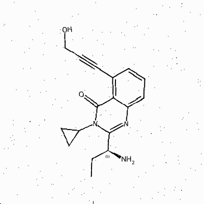 CC[C@H](N)c1nc2cccc(C#CCO)c2c(=O)n1C1CC1